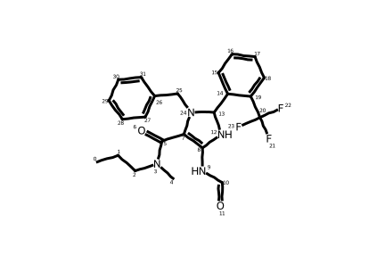 CCCN(C)C(=O)C1=C(NC=O)NC(c2ccccc2C(F)(F)F)N1Cc1ccccc1